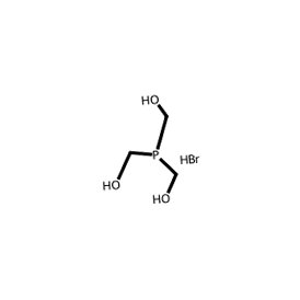 Br.OCP(CO)CO